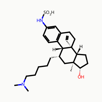 C=C[C@@]12CCc3cc(NS(=O)(=O)O)ccc3[C@H]1[C@@H](CCCCCN(C)C)C[C@@]1(C)[C@H]2CC[C@@H]1O